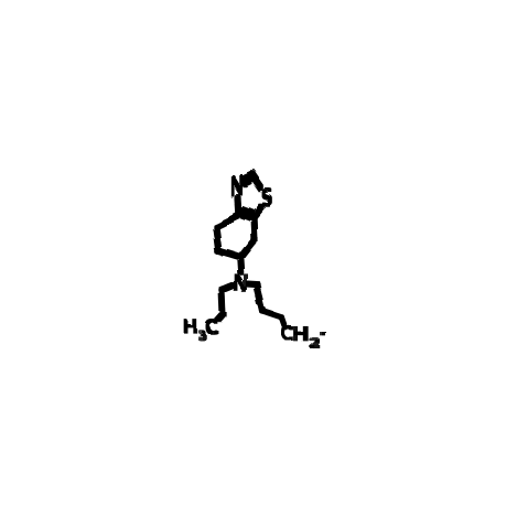 [CH2]CCCN(CCC)C1CCc2ncsc2C1